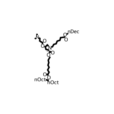 CCCCCCCCCCCOC(=O)CCCCCCN1CC(OC(=O)CCN(C)C)C[C@H]1C(=O)OCCCCCCCC(=O)OC(CCCCCCCC)CCCCCCCC